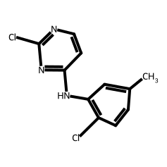 Cc1ccc(Cl)c(Nc2ccnc(Cl)n2)c1